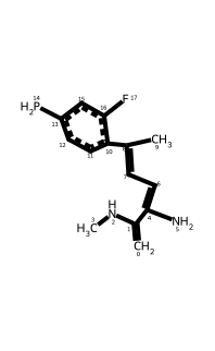 C=C(NC)/C(N)=C\C=C(/C)c1ccc(P)cc1F